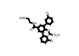 CCCCCCCCCCCCNC(=O)c1cc(-c2cccc(Cl)c2)c(OCC(=O)O)c(-c2cccc(Cl)c2)c1